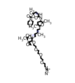 CC(/C=C/[C@H]1OC(C)(C)C[C@@]2(CO2)[C@@H]1OCCOCCOCCOCCN=[N+]=[N-])=C\C[C@@H]1O[C@H](C)[C@H](NC(=O)/C=C\C(C)OC(=O)N2CCOCC2)C[C@@H]1C